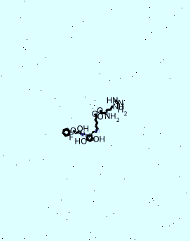 N=C(N)NCCC[C@H](N)C(=O)OC(=O)CCC/C=C\C[C@@H]1[C@@H](/C=C/[C@@H](O)COc2ccccc2F)[C@H](O)C[C@@H]1O